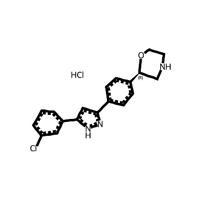 Cl.Clc1cccc(-c2cc(-c3ccc([C@@H]4CNCCO4)cc3)n[nH]2)c1